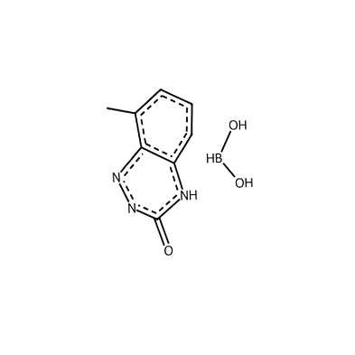 Cc1cccc2[nH]c(=O)nnc12.OBO